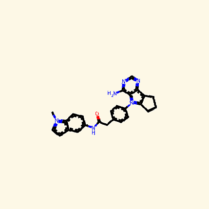 Cn1ccc2cc(NC(=O)Cc3ccc(-n4c5c(c6ncnc(N)c64)CCC5)cc3)ccc21